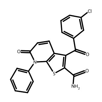 NC(=O)c1sc2c(ccc(=O)n2-c2ccccc2)c1C(=O)c1cccc(Cl)c1